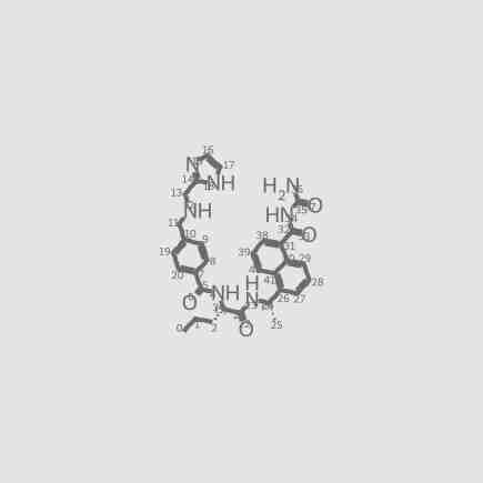 CCC[C@H](NC(=O)c1ccc(CNCc2ncc[nH]2)cc1)C(=O)N[C@@H](C)c1cccc2c(C(=O)NC(N)=O)cccc12